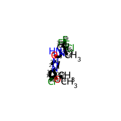 CNN(CC(=O)N1CCN(c2ccc(Cl)c(OC(C)C)c2)CC1)/C(C)=C(/Cl)CC(F)(F)F